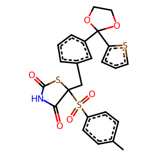 Cc1ccc(S(=O)(=O)C2(Cc3cccc(C4(c5cccs5)OCCO4)c3)SC(=O)NC2=O)cc1